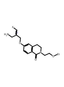 CCOCCN1CCc2cc(OC/C(=C/F)CN)ccc2C1=O